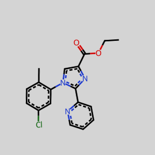 CCOC(=O)c1cn(-c2cc(Cl)ccc2C)c(-c2ccccn2)n1